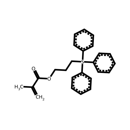 C=C(C)C(=O)OCCCS(c1ccccc1)(c1ccccc1)c1ccccc1